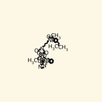 CC(C)Cc1ccc([C@H](C)C(=O)NCCCCCN2CC(=O)OB([C@H](CC(C)C)NC(=O)[C@H](Cc3ccccc3)NC(=O)c3cnccn3)OC(=O)C2)cc1